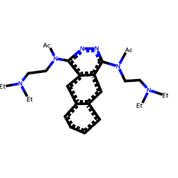 CCN(CC)CCN(C(C)=O)c1nnc(N(CCN(CC)CC)C(C)=O)c2cc3ccccc3cc12